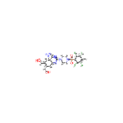 Cc1c(F)c(F)c(S(=O)(=O)N2CCN(c3nc(N)c4cc(CO)c(CO)cc4n3)CC2)c(F)c1F